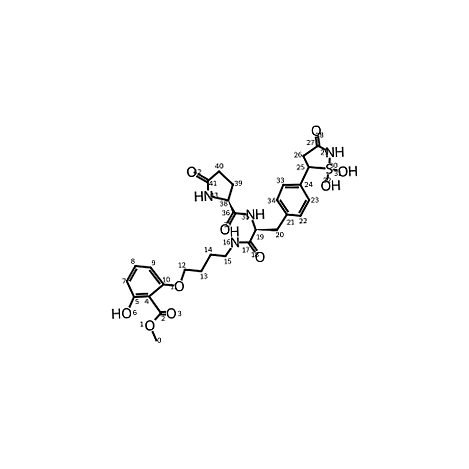 COC(=O)c1c(O)cccc1OCCCCNC(=O)[C@H](Cc1ccc(C2CC(=O)NS2(O)O)cc1)NC(=O)[C@@H]1CCC(=O)N1